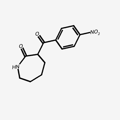 O=C1NCCCCC1C(=O)c1ccc([N+](=O)[O-])cc1